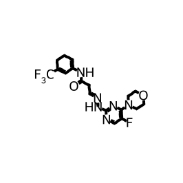 O=C(C/C=N/Nc1ncc(F)c(N2CCOCC2)n1)NC1=CCCC(C(F)(F)F)=C1